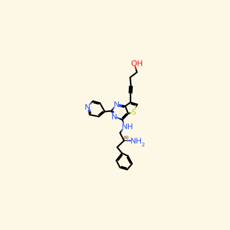 N[C@H](CNc1nc(-c2ccncc2)nc2c(C#CCCO)csc12)Cc1ccccc1